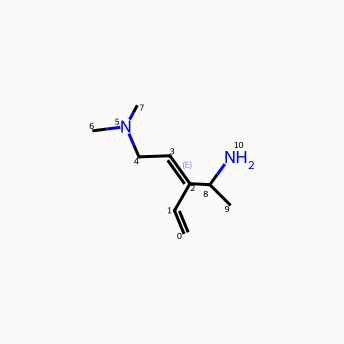 C=C/C(=C\CN(C)C)C(C)N